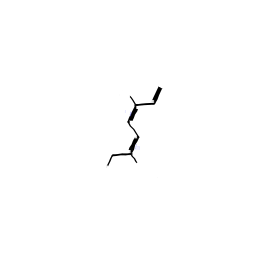 C=C/C(=C\C=C(/CO)C(=O)OCC)C(F)(F)F